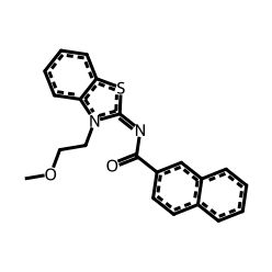 COCCn1c(=NC(=O)c2ccc3ccccc3c2)sc2ccccc21